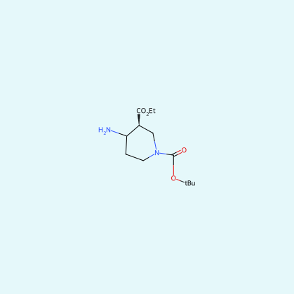 CCOC(=O)[C@H]1CN(C(=O)OC(C)(C)C)CCC1N